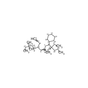 C#CCC(/C=C(/C)CC(C1CCCCC1)C(C)(CC)CCC)CCC(C)(C)CC